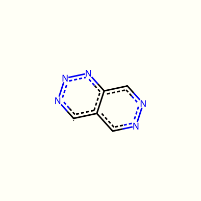 [c]1nnnc2cnncc12